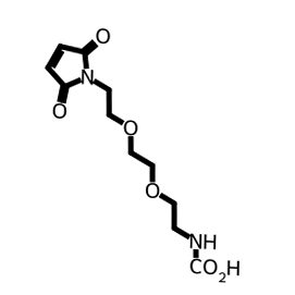 O=C(O)NCCOCCOCCN1C(=O)C=CC1=O